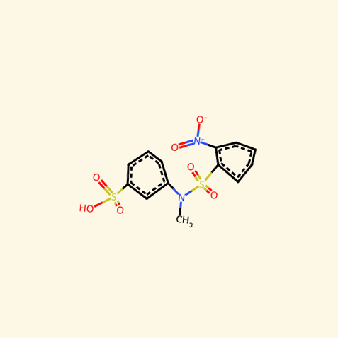 CN(c1cccc(S(=O)(=O)O)c1)S(=O)(=O)c1ccccc1[N+](=O)[O-]